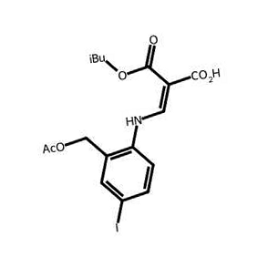 CCC(C)OC(=O)C(=CNc1ccc(I)cc1COC(C)=O)C(=O)O